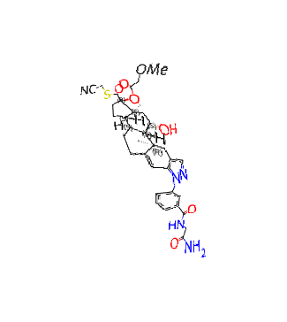 COCC(=O)O[C@]1(C(=O)SCC#N)CC[C@H]2[C@@H]3CCC4=Cc5c(cnn5-c5cccc(C(=O)NCC(N)=O)c5)C[C@]4(C)[C@H]3[C@@H](O)C[C@@]21C